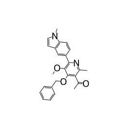 COc1c(-c2ccc3c(ccn3C)c2)nc(C)c(C(C)=O)c1OCc1ccccc1